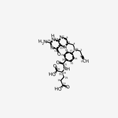 C#CCN(Cc1cnc2[nH]c(N)nc(=O)c2n1)c1ccc(C(=O)N[C@@H](CCC(=O)O)C(=O)O)cc1